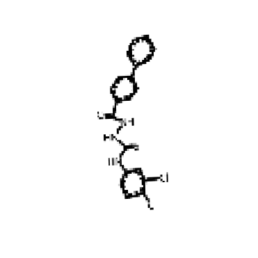 O=C(NNC(=S)Nc1ccc(Cl)c(Cl)c1)c1ccc(-c2ccccc2)cc1